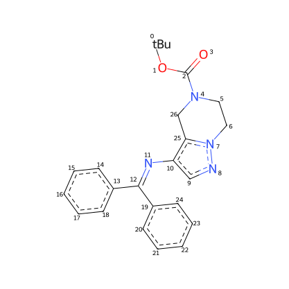 CC(C)(C)OC(=O)N1CCn2ncc(N=C(c3ccccc3)c3ccccc3)c2C1